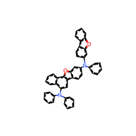 c1ccc(N(c2ccc3c(c2)oc2ccccc23)c2ccc3c(c2)oc2c4ccccc4c(N(c4ccccc4)c4ccccc4)cc32)cc1